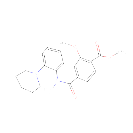 COC(=O)c1ccc(C(=O)N(C)c2ccccc2N2CCCCC2)cc1OC